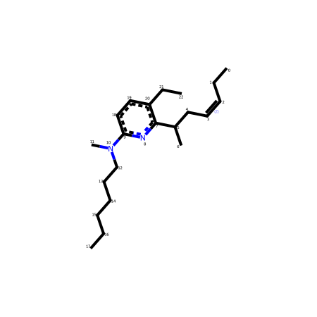 CC/C=C\CC(C)c1nc(N(C)CCCCCC)ccc1CC